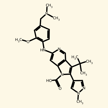 COc1cc(CN(C)C)ccc1Nc1cc2c(cn1)c(C(C)(C)C)c(-c1cnn(C)c1)n2C(=O)O